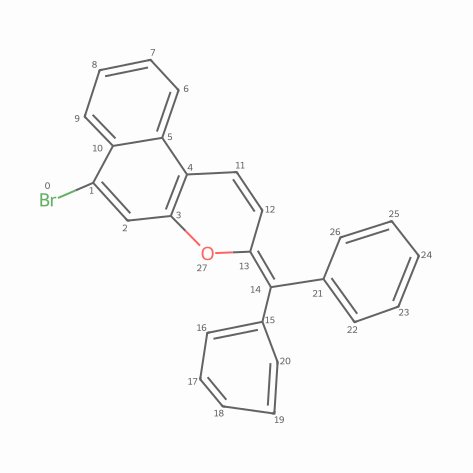 Brc1cc2c(c3ccccc13)C=CC(=C(c1ccccc1)c1ccccc1)O2